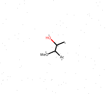 COC(C(C)=O)C(C)O